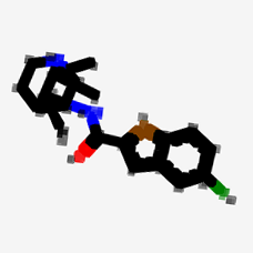 CC1(C)[C@H](NC(=O)c2cc3cc(F)ccc3s2)C2CCN1CC2